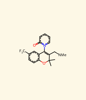 CNCC1=C(n2ccccc2=O)c2cc(C(F)(F)F)ccc2OC1(C)C